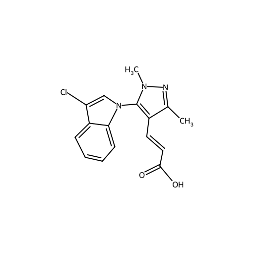 Cc1nn(C)c(-n2cc(Cl)c3ccccc32)c1C=CC(=O)O